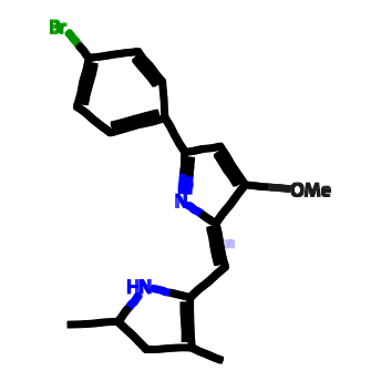 COC1=CC(c2ccc(Br)cc2)=N/C1=C\C1=C(C)CC(C)N1